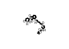 CC(C)(C)OC(=O)NC1CCN(C(=O)CCCCNc2cccc3c2C(=O)N(C2CCC(=O)NC2=O)C3=O)C1